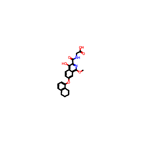 COc1nc(C(=O)NCC(=O)O)c(O)c2ccc(Oc3cccc4c3CCCC4)cc12